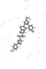 Cn1cc(-c2ccc3nc(NC(=O)c4csc(-c5ccc(Cl)cc5)n4)cn3n2)c(-c2ccc(F)cc2)n1